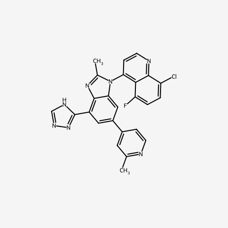 Cc1cc(-c2cc(-c3nnc[nH]3)c3nc(C)n(-c4ccnc5c(Cl)ccc(F)c45)c3c2)ccn1